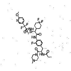 CCC(=O)N[C@@H](C(=O)N1CCN(C)CC1)[C@@H](C)c1ccc(NC(=O)[C@@H]([SiH2]NC(=O)C(F)(F)c2ccc(OC)nc2)C2CCC(F)(F)CC2)c(F)c1